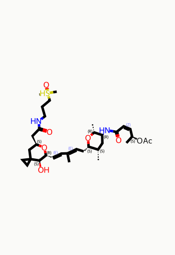 CC(=O)O[C@@H](C)/C=C\C(=O)N[C@@H]1C[C@H](C)[C@H](C/C=C(C)/C=C/[C@H]2O[C@H](CC(=O)NCCC[SH](C)(C)=O)CC3(CC3)[C@@H]2O)O[C@@H]1C